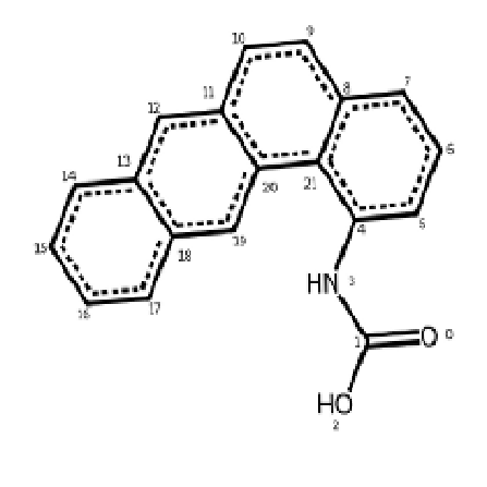 O=C(O)Nc1cccc2ccc3cc4ccccc4cc3c12